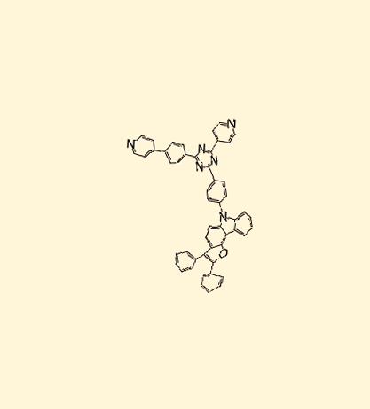 c1ccc(-c2oc3c(ccc4c3c3ccccc3n4-c3ccc(-c4nc(-c5ccncc5)nc(-c5ccc(-c6ccncc6)cc5)n4)cc3)c2-c2ccccc2)cc1